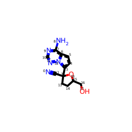 N#CC1(c2ccc3c(N)ncnn23)CCC(CO)O1